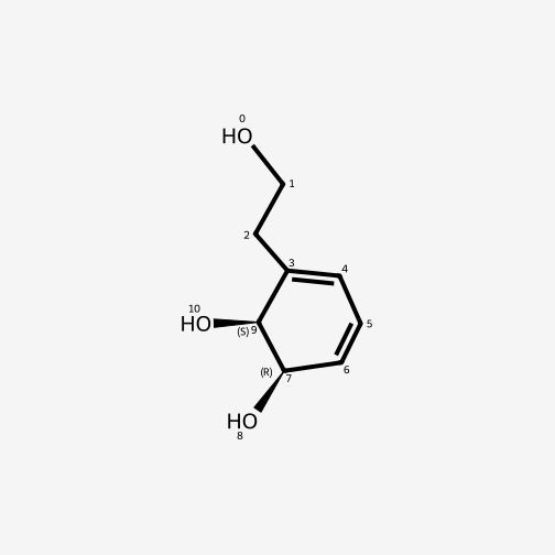 OCCC1=CC=C[C@@H](O)[C@H]1O